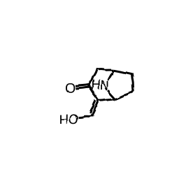 O=C1CC2CCC(N2)C1=CO